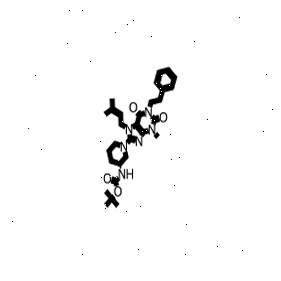 CC(C)=CCn1c(N2CCC[C@@H](NC(=O)OC(C)(C)C)C2)nc2c1c(=O)n(CCc1ccccc1)c(=O)n2C